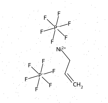 C=C[CH2][Ni+2].F[P-](F)(F)(F)(F)F.F[P-](F)(F)(F)(F)F